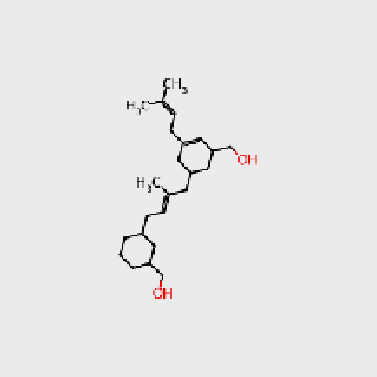 CC(C)=CCC1=CC(CO)CC(C/C(C)=C/CC2CCCC(CO)C2)C1